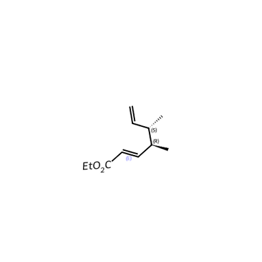 C=C[C@H](C)[C@@H](C)/C=C/C(=O)OCC